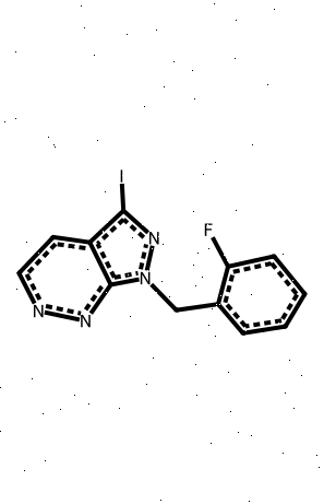 Fc1ccccc1Cn1nc(I)c2ccnnc21